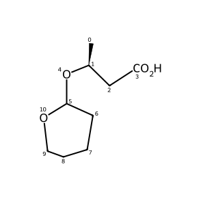 C[C@@H](CC(=O)O)OC1CCCCO1